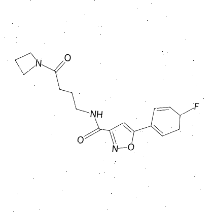 O=C(NCCCC(=O)N1CCC1)c1cc(C2=CCC(F)C=C2)on1